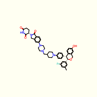 Cc1cc(F)cc([C@H]2OCc3cc(O)ccc3[C@H]2c2ccc(N3CCC(CN4CCN(c5ccc6c(c5)CN([C@H]5CCC(=O)NC5=O)C6=O)CC4)CC3)cc2)c1